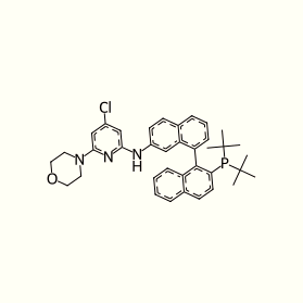 CC(C)(C)P(c1ccc2ccccc2c1-c1cccc2ccc(Nc3cc(Cl)cc(N4CCOCC4)n3)cc12)C(C)(C)C